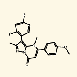 COc1ccc(-c2cc(=O)n3nc(C)c(-c4ccc(F)cc4F)c3n2C)cc1